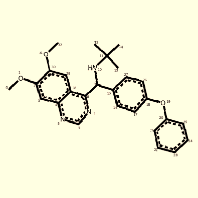 COc1cc2ncnc(C(NC(C)(C)C)c3ccc(Oc4ccccc4)cc3)c2cc1OC